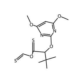 COc1cc(OC)nc(OC(C(=S)OC=S)C(C)(C)C)n1